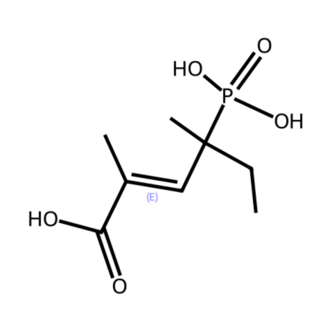 CCC(C)(/C=C(\C)C(=O)O)P(=O)(O)O